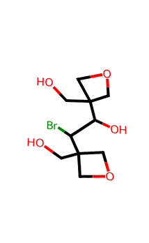 OCC1(C(O)C(Br)C2(CO)COC2)COC1